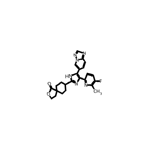 Cc1nc(-c2nc(C3CCC4(CCOC4=O)CC3)[nH]c2-c2ccc3ncnn3c2)ccc1F